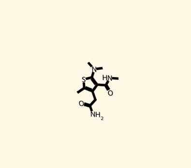 CNC(=O)c1c(N(C)C)sc(C)c1CC(N)=O